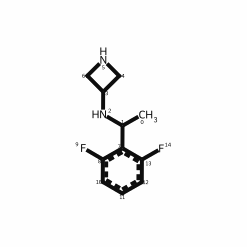 CC(NC1CNC1)c1c(F)cccc1F